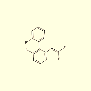 FC(F)=Cc1cccc(F)c1-c1ccccc1F